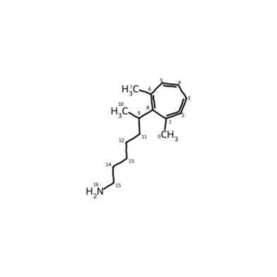 CC1=C=CC=CC(C)=C1C(C)CCCCCN